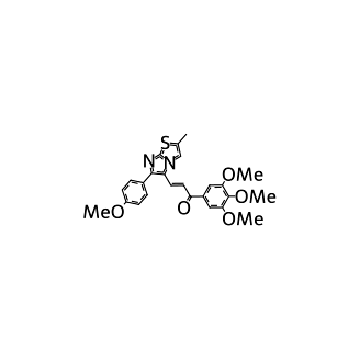 COc1ccc(-c2nc3sc(C)cn3c2/C=C/C(=O)c2cc(OC)c(OC)c(OC)c2)cc1